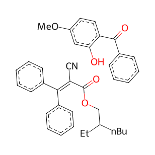 CCCCC(CC)COC(=O)C(C#N)=C(c1ccccc1)c1ccccc1.COc1ccc(C(=O)c2ccccc2)c(O)c1